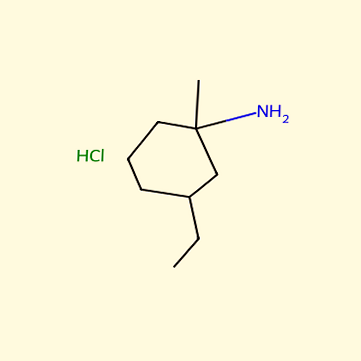 CCC1CCCC(C)(N)C1.Cl